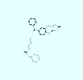 CN(C(=O)CCCCO/N=C(/c1ccccc1)c1ccc2c(c1)CN1CC(=O)NC1=N2)C1CCCCC1.O